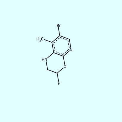 Cc1c(Br)cnc2c1NCC(F)O2